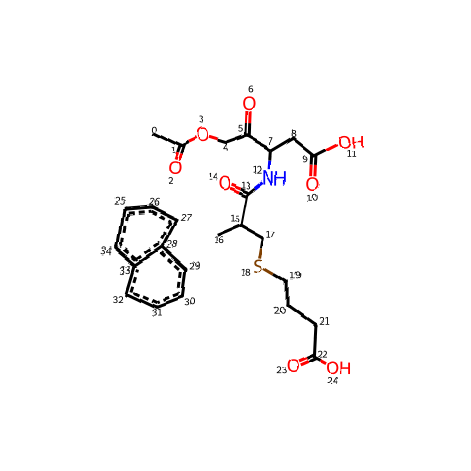 CC(=O)OCC(=O)C(CC(=O)O)NC(=O)C(C)CSCCCC(=O)O.c1ccc2ccccc2c1